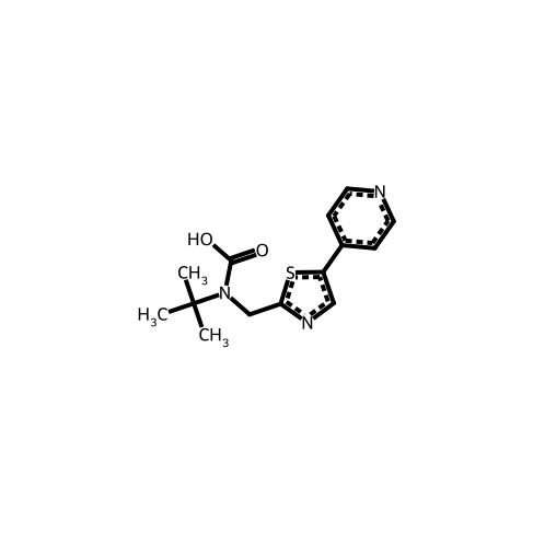 CC(C)(C)N(Cc1ncc(-c2ccncc2)s1)C(=O)O